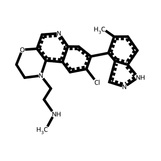 CNCCN1CCOc2cnc3cc(-c4c(C)ccc5[nH]ncc45)c(Cl)cc3c21